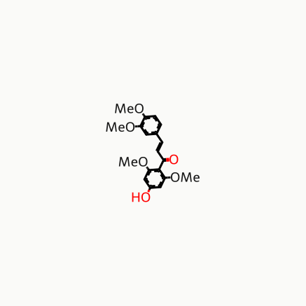 COc1ccc(C=CC(=O)c2c(OC)cc(O)cc2OC)cc1OC